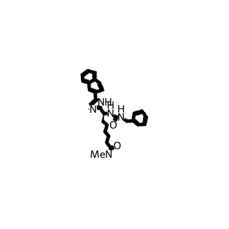 CNC(=O)CCCCC[C@H](NC(=O)NCc1ccccc1)C1=[N+]C=C(c2ccc3ccccc3c2)N1